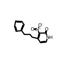 O=c1[nH]c[c]c(CCCc2ccccc2)c1[N+](=O)[O-]